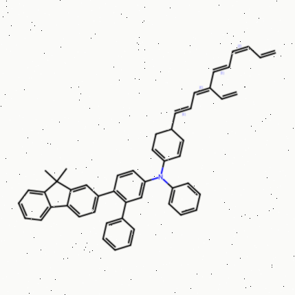 C=C\C=C/C=C/C(C=C)=C/C=C/C1C=CC(N(c2ccccc2)c2ccc(-c3ccc4c(c3)C(C)(C)c3ccccc3-4)c(-c3ccccc3)c2)=CC1